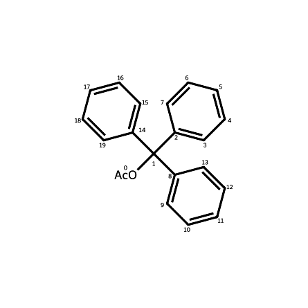 [CH2]C(=O)OC(c1ccccc1)(c1ccccc1)c1ccccc1